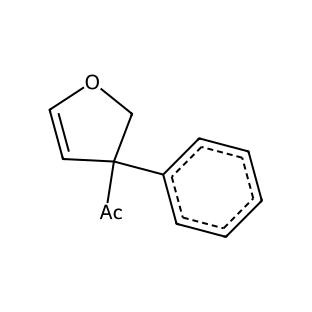 CC(=O)C1(c2ccccc2)C=COC1